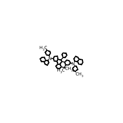 Cc1ccc(N(c2ccc3c(c2)C(C)(C)c2cccc4c2c-3c(-c2ccccc2)c2ccc(N(c3ccc(C)cc3)c3cccc5ccccc35)cc24)c2cccc3ccccc23)cc1